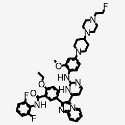 CCOc1ccc(-c2nc3ccccn3c2C2=CC=NC(Nc3ccc(N4CCC(N5CCN(CCF)CC5)CC4)cc3OC)N2)cc1C(=O)Nc1c(F)cccc1F